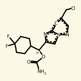 NC(=O)O[C@H](c1cn2ncc(CCl)cc2n1)C1CCC(F)(F)CC1